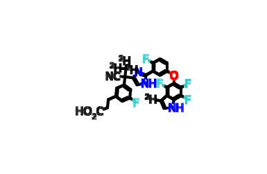 [2H]c1c[nH]c2c(F)c(F)c(Oc3ccc(F)c(-c4nc(C(C#N)(c5cc(F)cc(CCC(=O)O)c5)C([2H])([2H])[2H])c[nH]4)c3)c(F)c12